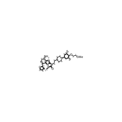 COCCOc1c(F)cc(N2CCN(CCn3c(=O)n(C)n4c5c(nc34)N(N)CN=C5c3ccco3)CC2)cc1F